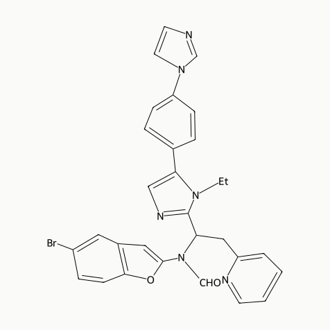 CCn1c(-c2ccc(-n3ccnc3)cc2)cnc1C(Cc1ccccn1)N(C=O)c1cc2cc(Br)ccc2o1